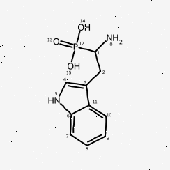 NC(Cc1c[nH]c2ccccc12)P(=O)(O)O